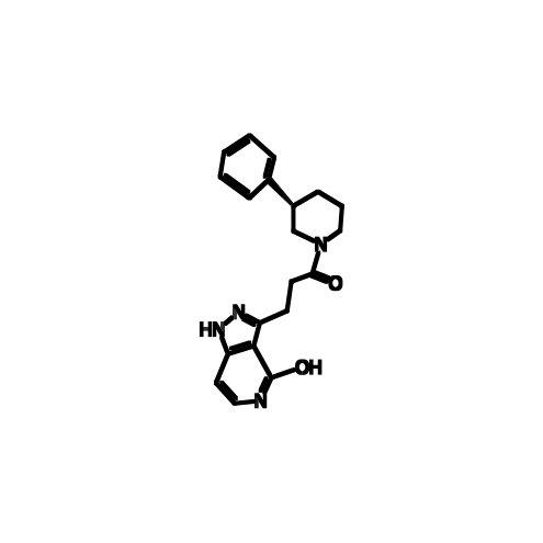 O=C(CCc1n[nH]c2ccnc(O)c12)N1CCC[C@H](c2ccccc2)C1